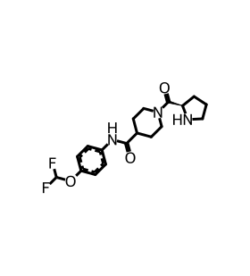 O=C(Nc1ccc(OC(F)F)cc1)C1CCN(C(=O)[C@H]2CCCN2)CC1